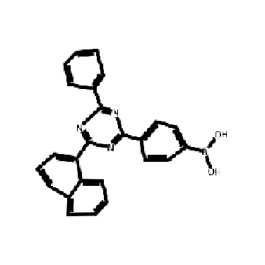 OB(O)c1ccc(-c2nc(-c3ccccc3)nc(-c3cccc4ccccc34)n2)cc1